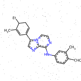 CCC1CC=C(c2cnc3c(Nc4ccc(C=O)c(C)c4)nccn23)C=C1C